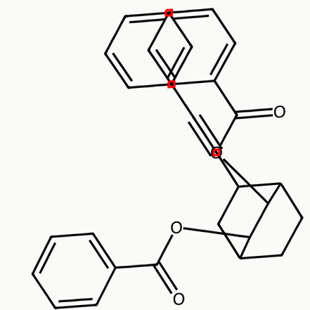 O=C(OC1C2CCC(C(C#Cc3ccccc3)C2)C1OC(=O)c1ccccc1)c1ccccc1